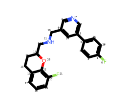 Fc1ccc(-c2cncc(CNCC3CCc4cccc(F)c4O3)c2)cc1